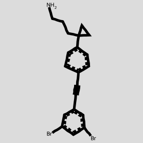 NCCCC1(c2ccc(C#Cc3cc(Br)cc(Br)c3)cc2)CC1